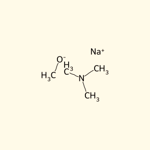 CN(C)C.C[O-].[Na+]